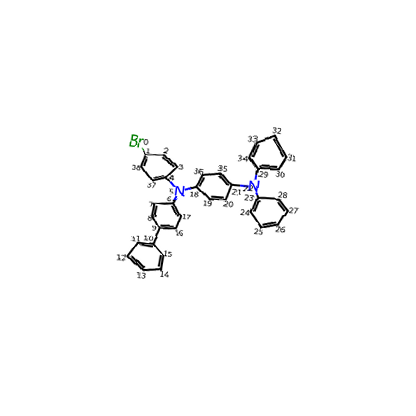 Brc1ccc(N(c2ccc(-c3ccccc3)cc2)c2ccc(N(c3ccccc3)c3ccccc3)cc2)cc1